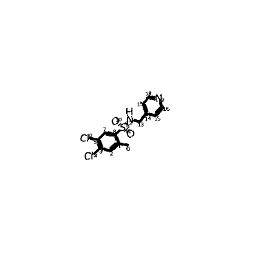 Cc1cc(Cl)c(Cl)cc1S(=O)(=O)NCc1ccncc1